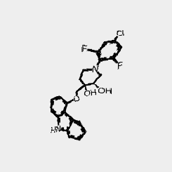 O[C@@H]1CN(c2c(F)cc(Cl)cc2F)CC[C@@]1(O)COc1cccc2[nH]c3ccccc3c12